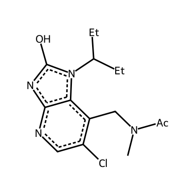 CCC(CC)n1c(O)nc2ncc(Cl)c(CN(C)C(C)=O)c21